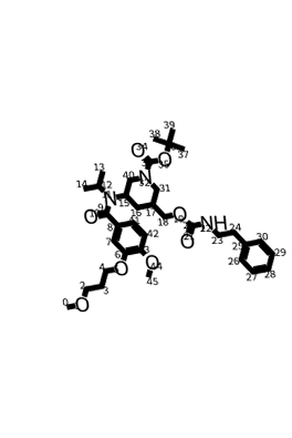 COCCCOc1cc(C(=O)N(C(C)C)C2CC(COC(=O)NCCc3ccccc3)CN(C(=O)OC(C)(C)C)C2)ccc1OC